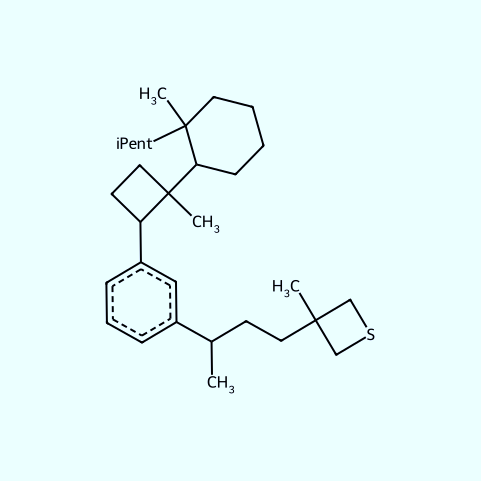 CCCC(C)C1(C)CCCCC1C1(C)CCC1c1cccc(C(C)CCC2(C)CSC2)c1